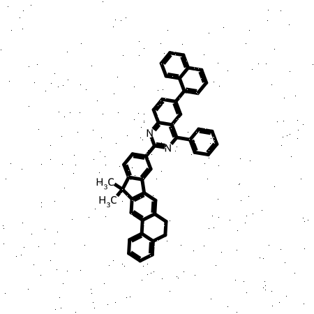 CC1(C)c2ccc(-c3nc(-c4ccccc4)c4cc(-c5cccc6ccccc56)ccc4n3)cc2-c2cc3c(cc21)-c1ccccc1CC3